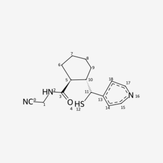 N#CCNC(=O)[C@H]1CCCC[C@@H]1C(S)c1ccncc1